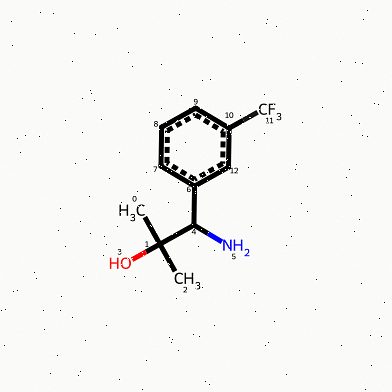 CC(C)(O)C(N)c1cccc(C(F)(F)F)c1